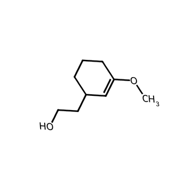 COC1=CC(CCO)CCC1